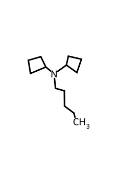 CCCCCN(C1CCC1)C1CCC1